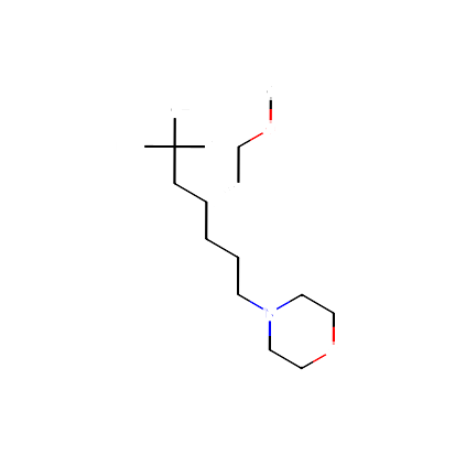 COCC[C@H](CCCN1CCOCC1)CC(C)(C)C